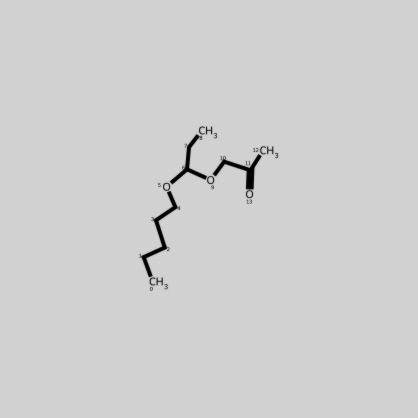 CCCCCOC(CC)OCC(C)=O